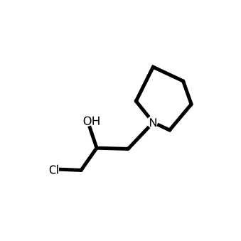 OC(CCl)CN1CCCCC1